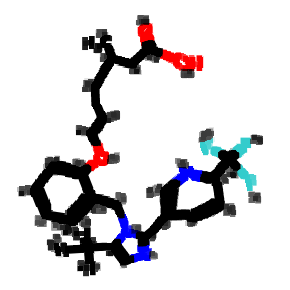 [2H]C([2H])([2H])c1cnc(-c2ccc(C(F)(F)F)nc2)n1Cc1ccccc1OCCCC(C)CC(=O)O